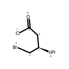 CCC[C@@H](CBr)CC(=O)Cl